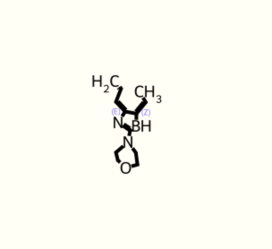 C=C/C=C1/N=C(N2CCOCC2)B/C1=C/C